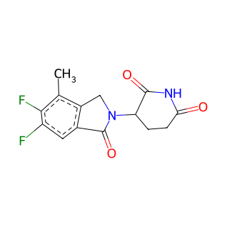 Cc1c(F)c(F)cc2c1CN(C1CCC(=O)NC1=O)C2=O